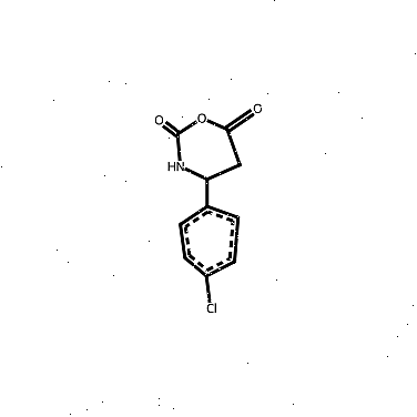 O=C1CC(c2ccc(Cl)cc2)NC(=O)O1